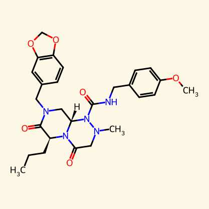 CCC[C@H]1C(=O)N(Cc2ccc3c(c2)OCO3)C[C@H]2N1C(=O)CN(C)N2C(=O)NCc1ccc(OC)cc1